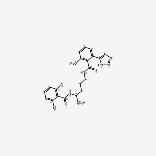 COc1cccc(-c2nnn[nH]2)c1C(=O)NCCCC(NC(=O)c1c(Cl)cccc1Cl)C(=O)O